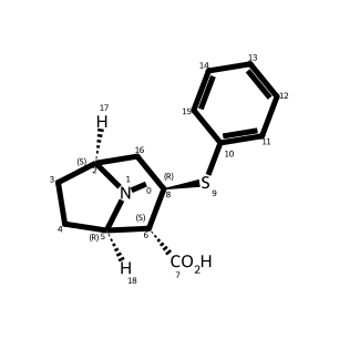 CN1[C@H]2CC[C@@H]1[C@@H](C(=O)O)[C@H](Sc1ccccc1)C2